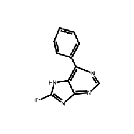 CC(C)c1nc2ncnc(-c3ccccc3)c2[nH]1